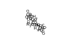 Cc1ccc(-c2ccccc2)cc1N(c1ccc2cc3c(cc2c1)oc1c(C(C)(C)C)c2c(cc13)oc1cc3cc(N(c4cc(-c5ccccc5)ccc4C)c4c(C)cccc4C)ccc3cc12)c1c(C)cccc1C